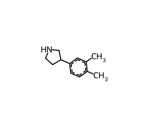 Cc1ccc(C2CCNC2)cc1C